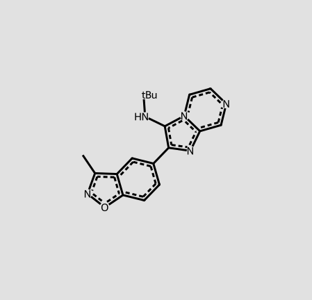 Cc1noc2ccc(-c3nc4cnccn4c3NC(C)(C)C)cc12